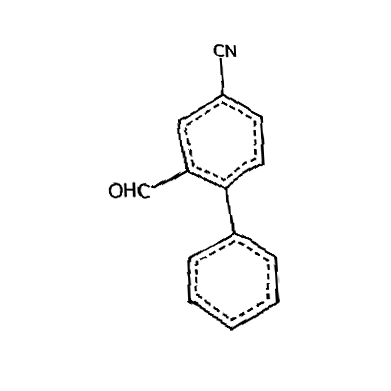 N#Cc1ccc(-c2ccccc2)c(C=O)c1